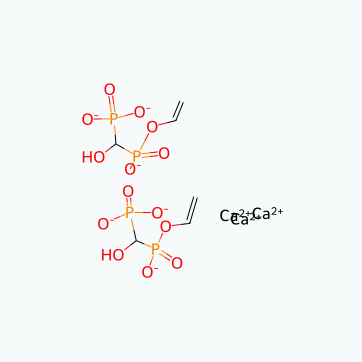 C=COP(=O)([O-])C(O)P(=O)([O-])[O-].C=COP(=O)([O-])C(O)P(=O)([O-])[O-].[Ca+2].[Ca+2].[Ca+2]